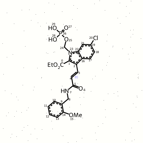 CCOC(=O)c1c(/C=C/C(=O)NCc2ccccc2OC)c2ccc(Cl)cc2n1COP(=O)(O)O